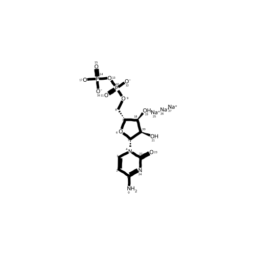 Nc1ccn([C@@H]2O[C@H](COP(=O)([O-])OP(=O)([O-])[O-])[C@@H](O)[C@H]2O)c(=O)n1.[Na+].[Na+].[Na+]